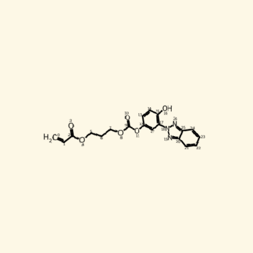 C=CC(=O)OCCCOC(=O)Oc1ccc(O)c(-n2nc3ccccc3n2)c1